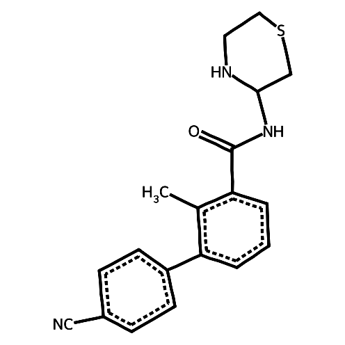 Cc1c(C(=O)NC2CSCCN2)cccc1-c1ccc(C#N)cc1